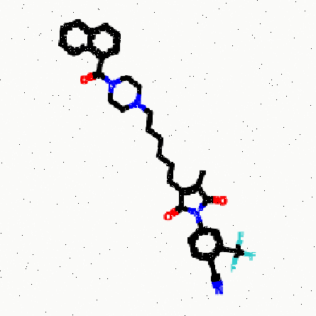 CC1=C(CCCCCCN2CCN(C(=O)c3cccc4ccccc34)CC2)C(=O)N(c2ccc(C#N)c(C(F)(F)F)c2)C1=O